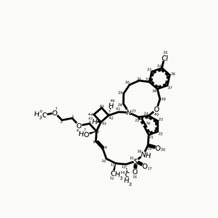 COCCOC[C@@]1(O)/C=C/C[C@H](C)[C@@H](C)S(=O)(=O)NC(=O)c2ccc3c(c2)N(CCCCc2cc(Cl)ccc2CO3)C[C@@H]2CC[C@H]21